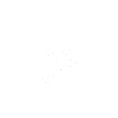 FC(F)OCCc1ccc(Cc2cc(C3CC(OCc4ccccc4)CC(COCc4ccccc4)O3)ccc2Cl)cc1